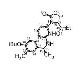 CC[C@@H](O)[C@H]1COC(=O)N1c1ccnc(N[C@@H](C)c2ccc(OCC(C)C)c(C)c2)n1